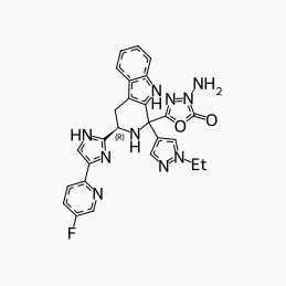 CCn1cc(C2(c3nn(N)c(=O)o3)N[C@@H](c3nc(-c4ccc(F)cn4)c[nH]3)Cc3c2[nH]c2ccccc32)cn1